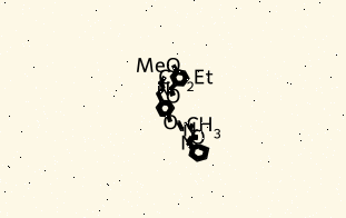 CCOC(=O)CN(Cc1ccc(OCCN(C)c2nc3ccccc3o2)cc1)C(=O)c1cccc(OC)c1